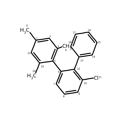 Cc1cc(C)c(-c2cc[c]c(Cl)c2-c2ccccc2)c(C)c1